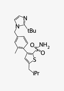 Cc1cc(Cn2ccnc2C(C)(C)C)ccc1-c1cc(CC(C)C)sc1S(N)(=O)=O